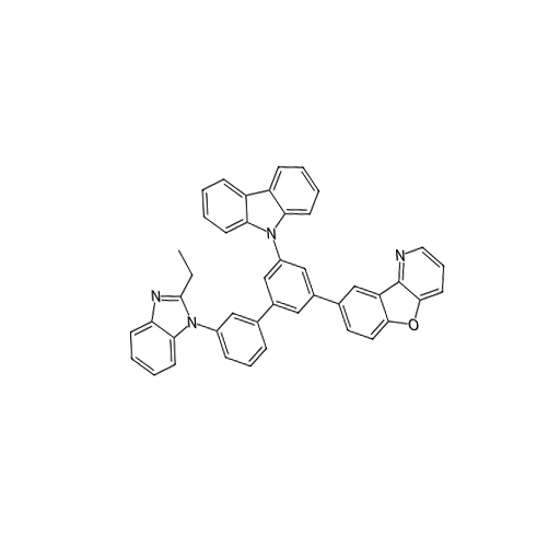 CCc1nc2ccccc2n1-c1cccc(-c2cc(-c3ccc4oc5cccnc5c4c3)cc(-n3c4ccccc4c4ccccc43)c2)c1